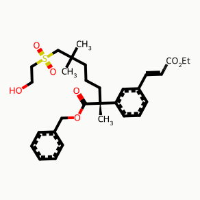 CCOC(=O)/C=C/c1cccc([C@@](C)(CCCC(C)(C)CS(=O)(=O)CCO)C(=O)OCc2ccccc2)c1